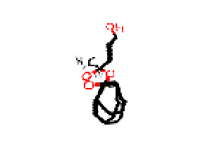 C[C@]1(CCCO)OOC2(O1)C1CC3CC(C1)CC2C3